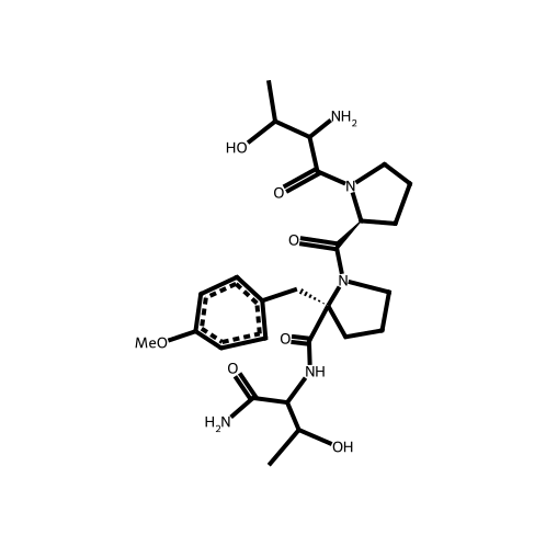 COc1ccc(C[C@@]2(C(=O)NC(C(N)=O)C(C)O)CCCN2C(=O)[C@@H]2CCCN2C(=O)C(N)C(C)O)cc1